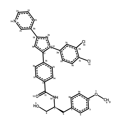 COc1ccc(C[C@@H](CO)NC(=O)c2ccc(-c3cc(-c4cccnc4)nn3-c3ccc(Cl)c(Cl)c3)cc2)cc1